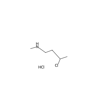 CNCCC(C)Cl.Cl